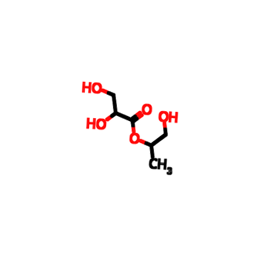 CC(CO)OC(=O)C(O)CO